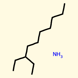 CCCCCCCC(CC)CC.N